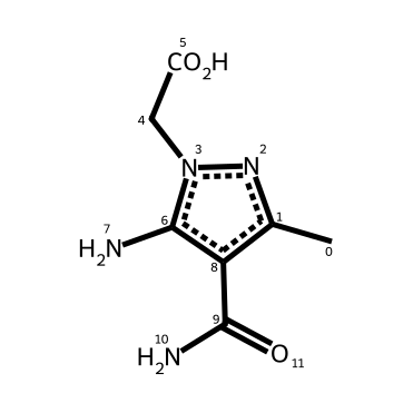 Cc1nn(CC(=O)O)c(N)c1C(N)=O